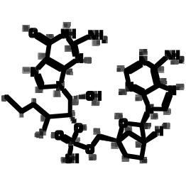 CCCC(F)[C@@H](OP(=O)(S)OC[C@]12CC[C@H](C1)[C@H](n1cnc3c(N)ncnc31)O2)[C@@H](O)n1cnc2c(=O)[nH]c(N)nc21